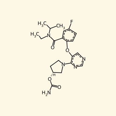 CCN(C(=O)c1cc(F)ccc1Oc1cncnc1N1CC[C@@H](OC(N)=O)C1)C(C)C